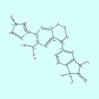 CN1C(=O)C(C)(C)c2ccc(N3CCCc4cc(-c5cnn(C)c5)c(C(F)F)cc43)cc21